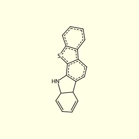 C1=CC2Nc3c(ccc4c3sc3ccccc34)C2C=C1